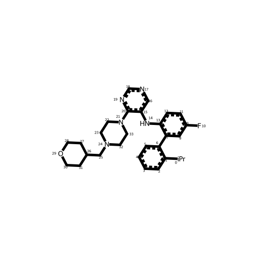 CC(C)c1ccccc1-c1cc(F)ccc1Nc1cncnc1N1CCN(CC2CCOCC2)CC1